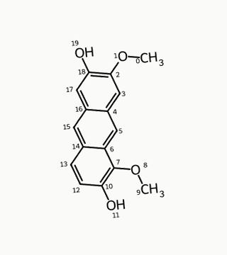 COc1cc2cc3c(OC)c(O)ccc3cc2cc1O